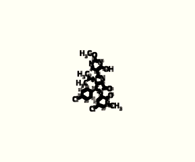 COc1ncc(-c2nc3c(n2C(C)C)[C@H](c2ccc(Cl)cc2)N(c2cc(Cl)cn(C)c2=O)C3=O)c(O)n1